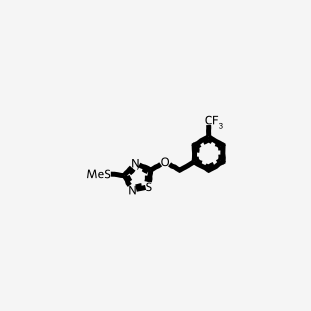 CSc1nsc(OCc2cccc(C(F)(F)F)c2)n1